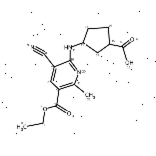 CCOC(=O)c1cc(C#N)c(NC2CCC(C(=O)O)C2)nc1C